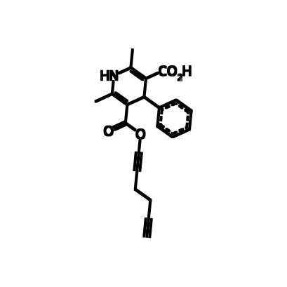 C#CCCC#COC(=O)C1=C(C)NC(C)=C(C(=O)O)C1c1ccccc1